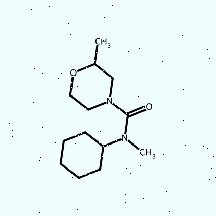 CC1CN(C(=O)N(C)C2CCCCC2)CCO1